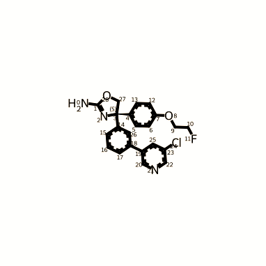 NC1=N[C@@](c2ccc(OCCF)cc2)(c2cccc(-c3cncc(Cl)c3)c2)CO1